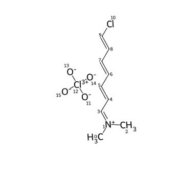 C[N+](C)=CC=CC=CC=CCl.[O-][Cl+3]([O-])([O-])[O-]